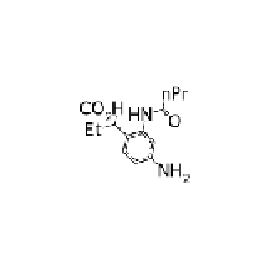 CCCC(=O)Nc1cc(N)ccc1C(CC)C(=O)O